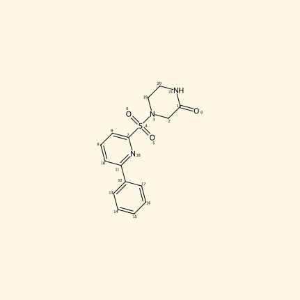 O=C1CN(S(=O)(=O)c2cccc(-c3ccccc3)n2)CCN1